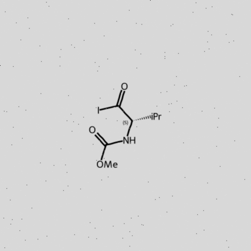 COC(=O)N[C@H](C(=O)I)C(C)C